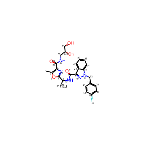 Cc1oc(C(NC(=O)c2nn(Cc3ccc(F)cc3)c3ccccc23)C(C)(C)C)nc1C(=O)NCC(O)CO